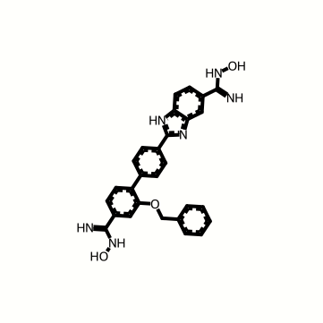 N=C(NO)c1ccc(-c2ccc(-c3nc4cc(C(=N)NO)ccc4[nH]3)cc2)c(OCc2ccccc2)c1